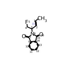 C/C=C/C(CF)N1C(=O)c2ccccc2C1=O